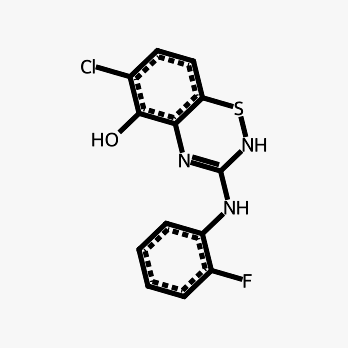 Oc1c(Cl)ccc2c1N=C(Nc1ccccc1F)NS2